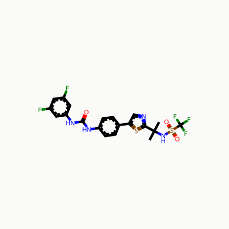 CC(C)(NS(=O)(=O)C(F)(F)F)c1ncc(-c2ccc(NC(=O)Nc3cc(F)cc(F)c3)cc2)s1